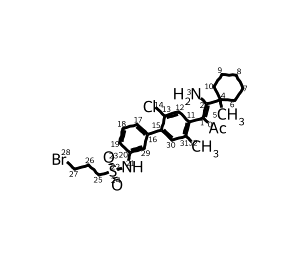 CC(=O)/C(=C(/N)C1(C)CCCCC1)c1cc(Cl)c(-c2cccc(NS(=O)(=O)CCCBr)c2)cc1C